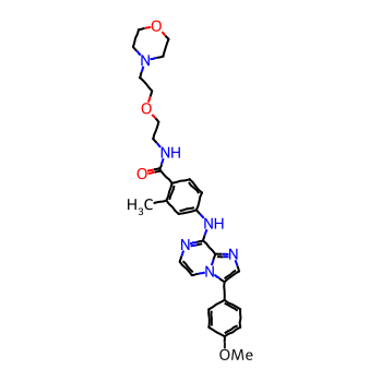 COc1ccc(-c2cnc3c(Nc4ccc(C(=O)NCCOCCN5CCOCC5)c(C)c4)nccn23)cc1